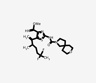 C=C(c1sc(NC(=O)N2CCC3(CCOCC3)C2)nc1C(=N)OC)C(C)CCC(C)(F)F